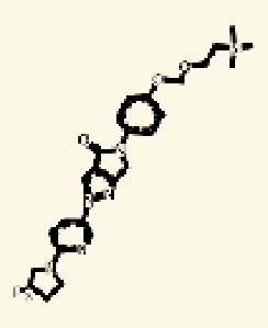 C[Si](C)(C)CCOCOc1ccc(N2Cc3nn(-c4ccc(N5CC[C@@H](F)C5)nc4)cc3C2=O)cc1